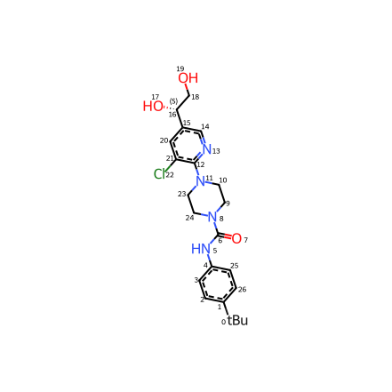 CC(C)(C)c1ccc(NC(=O)N2CCN(c3ncc([C@H](O)CO)cc3Cl)CC2)cc1